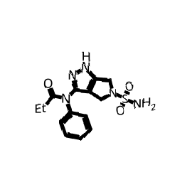 CCC(=O)N(c1ccccc1)c1n[nH]c2c1CN(S(N)(=O)=O)C2